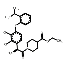 C=C(C(=O)N1CCC(C(=O)OCC)CC1)c1ccc(Sc2ccccc2C(C)C)c(Cl)c1Cl